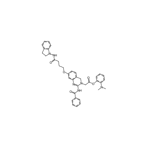 CN(C)c1ccccc1OC(=O)CN1Cc2ccc(OCCCC(=O)NN3CCc4ccccc43)cc2N=C1NC(=O)c1ccccc1